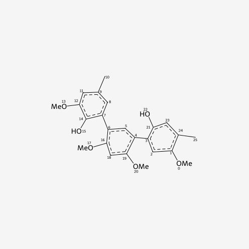 COc1cc(-c2cc(-c3cc(C)cc(OC)c3O)c(OC)cc2OC)c(O)cc1C